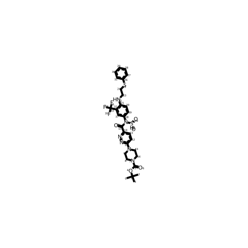 CC(C)(C)OC(=O)N1CCN(c2ccc(C(=O)N(c3ccc(NCCSc4ccccc4)c(C(F)(F)F)c3)[SH](=O)=O)nn2)CC1